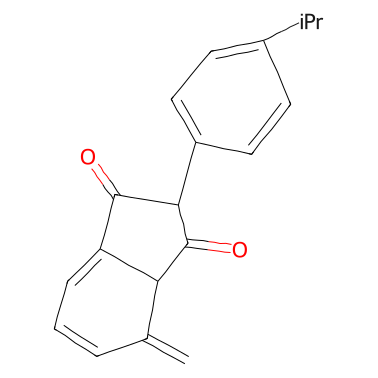 C=C1C=CC=C2C(=O)C(c3ccc(C(C)C)cc3)C(=O)C12